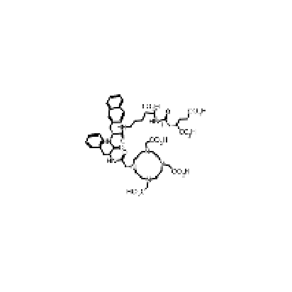 O=C(O)CC[C@H](NC(=O)N[C@@H](CCCCNC(=O)[C@H](Cc1ccc2ccccc2c1)NC(=O)[C@H](Cc1ccccc1)NC(=O)CN1CCN(CC(=O)O)CCN(CC(=O)O)CCN(CC(=O)O)CC1)C(=O)O)C(=O)O